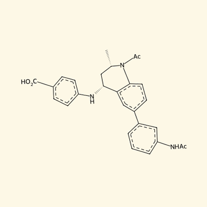 CC(=O)Nc1cccc(-c2ccc3c(c2)[C@H](Nc2ccc(C(=O)O)cc2)C[C@H](C)N3C(C)=O)c1